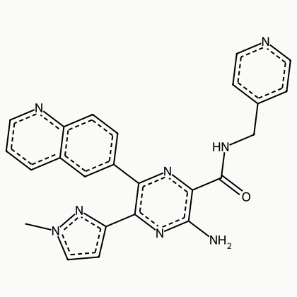 Cn1ccc(-c2nc(N)c(C(=O)NCc3ccncc3)nc2-c2ccc3ncccc3c2)n1